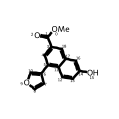 COC(=O)c1cc(-c2ccoc2)c2ccc(O)cc2c1